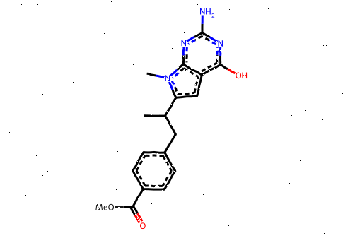 COC(=O)c1ccc(CC(C)c2cc3c(O)nc(N)nc3n2C)cc1